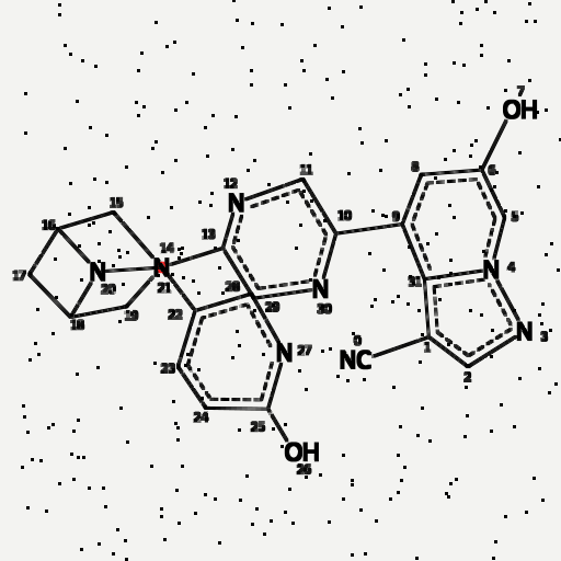 N#Cc1cnn2cc(O)cc(-c3cnc(N4CC5CC(C4)N5Cc4ccc(O)nc4)cn3)c12